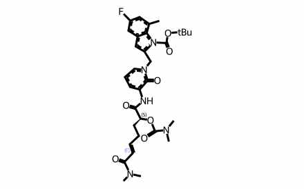 Cc1cc(F)cc2cc(Cn3cccc(NC(=O)[C@H](CC/C=C/C(=O)N(C)C)OC(=O)N(C)C)c3=O)n(C(=O)OC(C)(C)C)c12